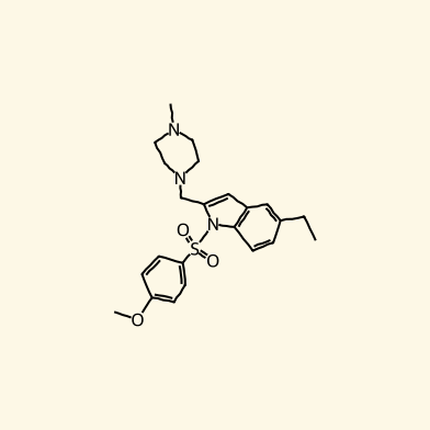 CCc1ccc2c(c1)cc(CN1CCN(C)CC1)n2S(=O)(=O)c1ccc(OC)cc1